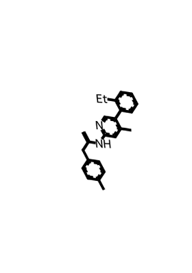 C=C(Cc1ccc(C)cc1)Nc1cc(C)c(-c2ccccc2CC)cn1